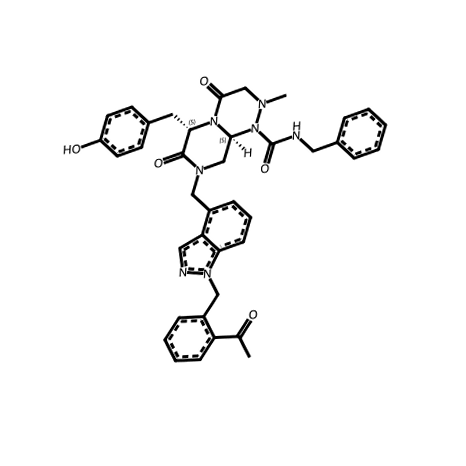 CC(=O)c1ccccc1Cn1ncc2c(CN3C[C@H]4N(C(=O)CN(C)N4C(=O)NCc4ccccc4)[C@@H](Cc4ccc(O)cc4)C3=O)cccc21